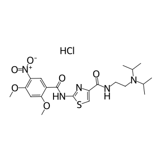 COc1cc(OC)c([N+](=O)[O-])cc1C(=O)Nc1nc(C(=O)NCCN(C(C)C)C(C)C)cs1.Cl